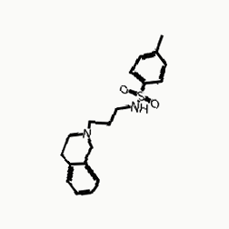 Cc1ccc(S(=O)(=O)NCCCN2CCc3ccccc3C2)cc1